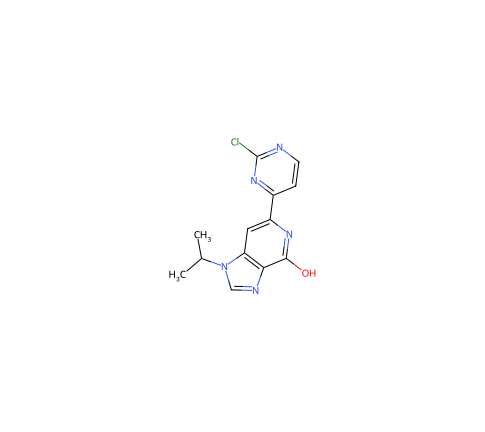 CC(C)n1cnc2c(O)nc(-c3ccnc(Cl)n3)cc21